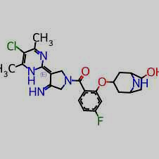 CC1=N/C(=C2\CN(C(=O)c3ccc(F)cc3OC3CC4CC(O)C(C3)N4)CC2=N)NC(C)=C1Cl